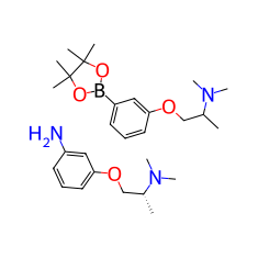 CC(COc1cccc(B2OC(C)(C)C(C)(C)O2)c1)N(C)C.C[C@H](COc1cccc(N)c1)N(C)C